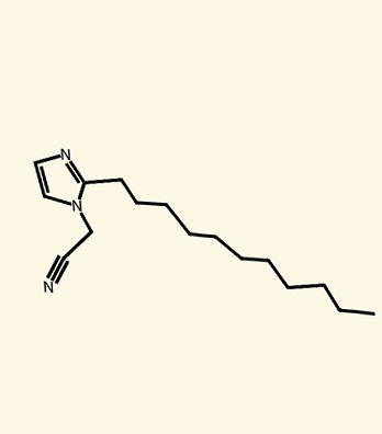 CCCCCCCCCCCc1nccn1CC#N